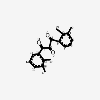 Cc1cccc(C(=O)C(=O)C(=O)c2cccc(C)c2C)c1C